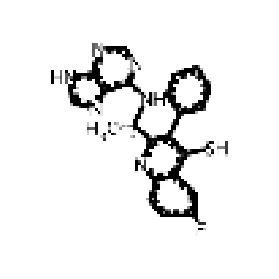 C[C@H](Nc1ncnc2[nH]cnc12)c1nc2ccc(F)cc2c(S)c1-c1ccccc1